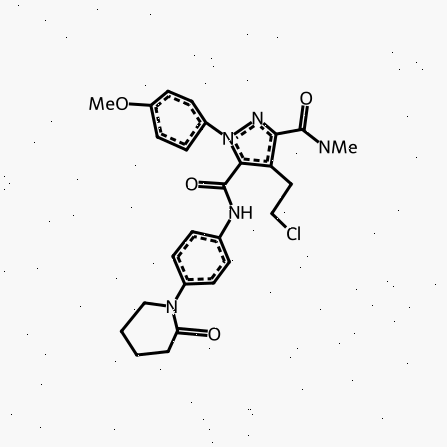 CNC(=O)c1nn(-c2ccc(OC)cc2)c(C(=O)Nc2ccc(N3CCCCC3=O)cc2)c1CCCl